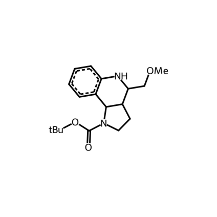 COCC1Nc2ccccc2C2C1CCN2C(=O)OC(C)(C)C